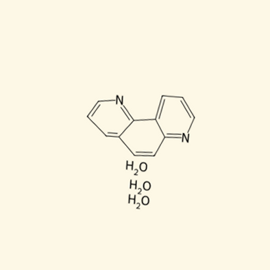 O.O.O.c1cnc2c(c1)ccc1ncccc12